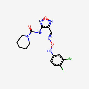 O=C(Nc1nonc1/C=N/ONc1ccc(F)c(Br)c1)N1CCCCC1